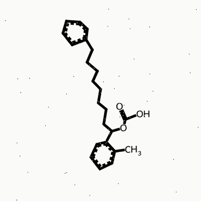 Cc1ccccc1C(CCCCCCCCc1ccccc1)OC(=O)O